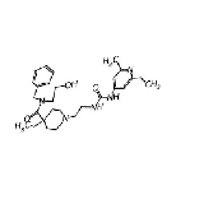 CCc1cc(NC(=O)NCCN2CCC(CC)(C(=O)N(CCO)Cc3ccccc3)CC2)cc(C)n1